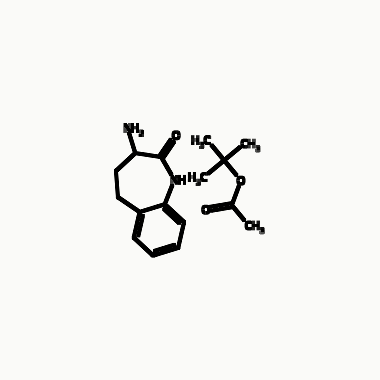 CC(=O)OC(C)(C)C.NC1CCc2ccccc2NC1=O